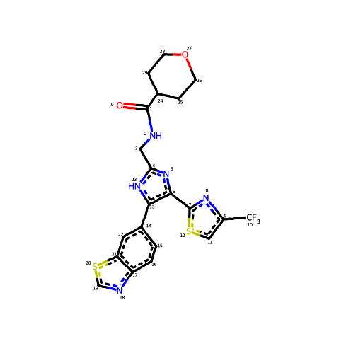 O=C(NCc1nc(-c2nc(C(F)(F)F)cs2)c(-c2ccc3ncsc3c2)[nH]1)C1CCOCC1